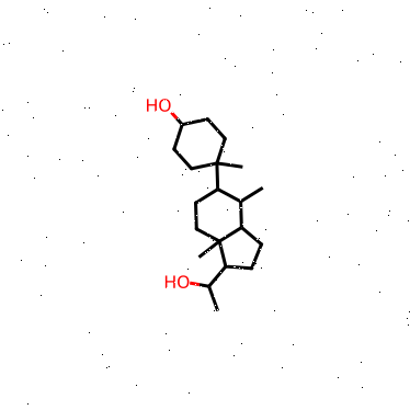 CC(O)C1CCC2C(C)C(C3(C)CCC(O)CC3)CCC12C